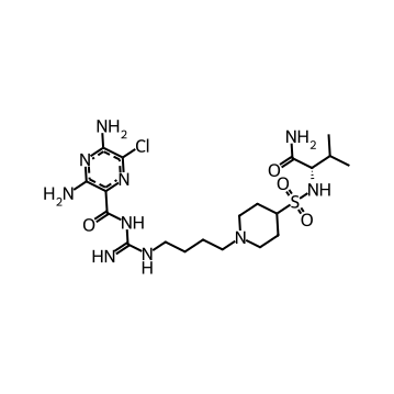 CC(C)[C@H](NS(=O)(=O)C1CCN(CCCCNC(=N)NC(=O)c2nc(Cl)c(N)nc2N)CC1)C(N)=O